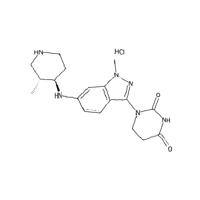 C[C@@H]1CNCC[C@H]1Nc1ccc2c(N3CCC(=O)NC3=O)nn(C)c2c1.Cl